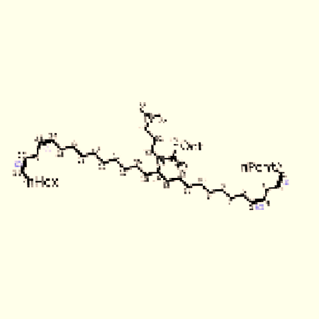 CCCCC/C=C\C/C=C\CCCCCCCCC(CCCCCCCCC/C=C\C/C=C\CCCCCC)N(CCCN(C)C)C(=O)CCCCCCCC